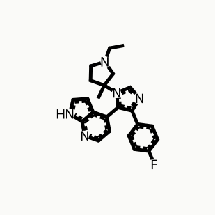 CCN1CCC(C)(n2cnc(-c3ccc(F)cc3)c2-c2ccnc3[nH]ccc23)C1